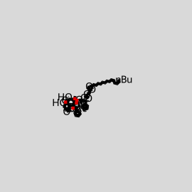 CCCC/C=C\C/C=C\CCCCCCCCC1OCC(COC(=O)O[C@@H](C(=O)O[C@H]2C[C@@]3(O)[C@@H](OC(=O)c4ccccc4)[C@H]4[C@](C)(C(=O)[C@H](O)C(=C2C)C3(C)C)[C@@H](O)C[C@@]2(C)OC[C@@]42OC(C)=O)[C@@H](C)c2ccccc2)O1